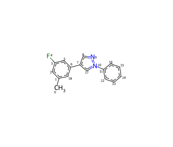 Cc1cc(F)cc(-c2cnn(-c3ccccc3)c2)c1